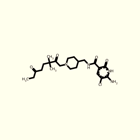 CCC(=O)CCC(C)(C)C(=O)CN1CCC(CNC(=O)c2cc(Cl)c(N)[nH]c2=O)CC1